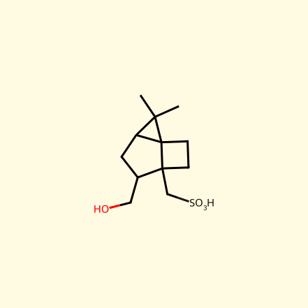 CC1(C)C2CC(CO)C3(CS(=O)(=O)O)CCC213